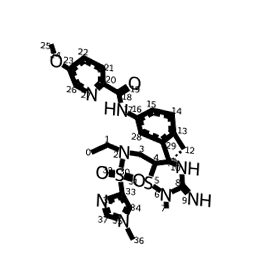 CCN(CC1SN(C)C(=N)N[C@@]12Cc1ccc(NC(=O)c3ccc(OC)cn3)cc12)S(=O)(=O)c1cn(C)cn1